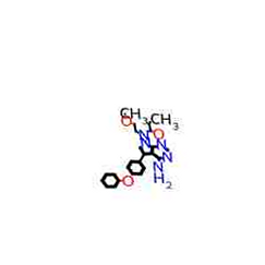 CCC(=O)N(CCOC)n1cc(-c2ccc(Oc3ccccc3)cc2)c2c(N)ncnc21